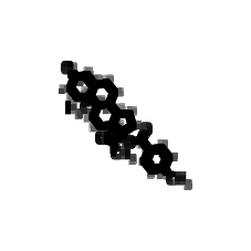 CC(=O)[C@@]1(OC(=O)c2ccc(C)cc2)CCC2C3CCC4=CC(=O)CC[C@]4(C)C3CC[C@@]21C